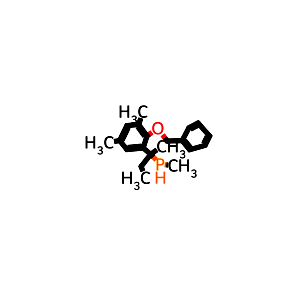 CCC(C)(PC)c1cc(C)cc(C)c1OCc1ccccc1